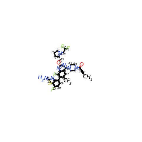 CC#CC(=O)N1CCN(c2nc(OC[C@@H]3CCCN3CC(F)F)nc3c(F)c(-c4ccc(F)c5sc(N)nc45)c(C(F)(F)F)cc23)CC1